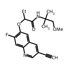 C#Cc1cnc2cc(F)c(OC(CC)C(=O)NC(C)(C)COC)cc2c1